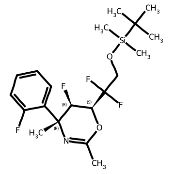 CC1=N[C@](C)(c2ccccc2F)[C@@H](F)[C@@H](C(F)(F)CO[Si](C)(C)C(C)(C)C)O1